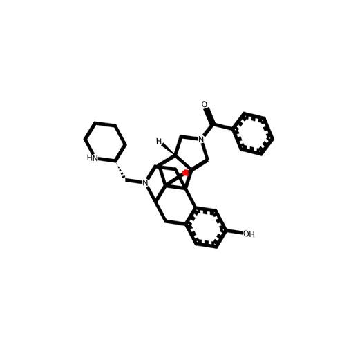 O=C(c1ccccc1)N1C[C@H]2CC34CCC1C2C31CCN(C[C@H]2CCCCN2)C4Cc2ccc(O)cc21